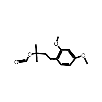 COc1ccc(CCC(C)(C)O[C]=O)c(OC)c1